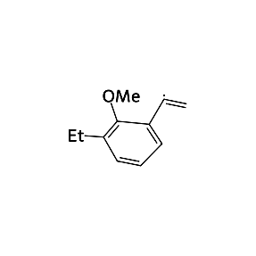 C=[C]c1cccc(CC)c1OC